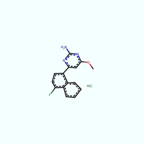 COc1cc(-c2ccc(F)c3ccccc23)nc(N)n1.Cl